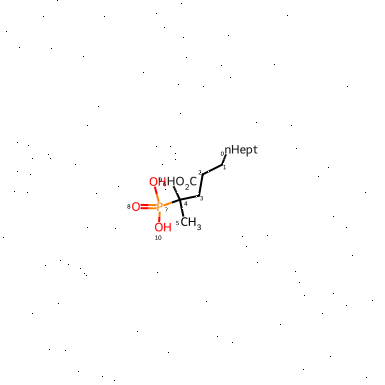 CCCCCCCCCCC(C)(C(=O)O)P(=O)(O)O